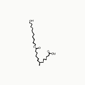 CC(CCCCCC(=O)O)CCCCCC(=O)OCCCCCCCCCCO